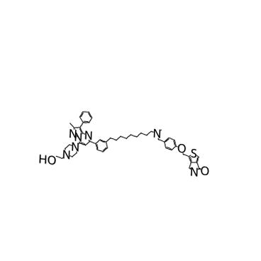 Cc1nn2c(N3CCN(CCO)CC3)cc(-c3cccc(CCCCCCCCCN(C)Cc4ccc(OCc5scc6c5C=NC6=O)cc4)c3)nc2c1-c1ccccc1